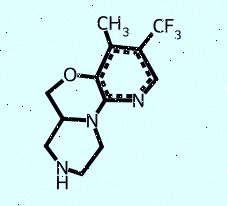 Cc1c(C(F)(F)F)cnc2c1OCC1CNCCN21